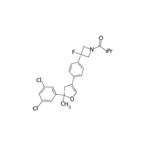 CC(C)C(=O)N1CC(F)(c2ccc(C3=COC(C)(c4cc(Cl)cc(Cl)c4)C3)cc2)C1